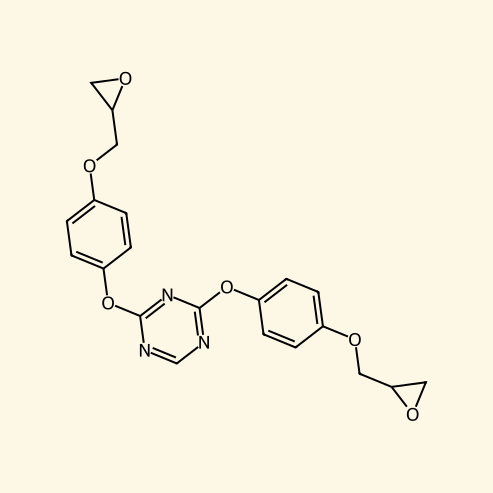 c1nc(Oc2ccc(OCC3CO3)cc2)nc(Oc2ccc(OCC3CO3)cc2)n1